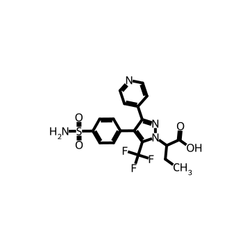 CCC(C(=O)O)n1nc(-c2ccncc2)c(-c2ccc(S(N)(=O)=O)cc2)c1C(F)(F)F